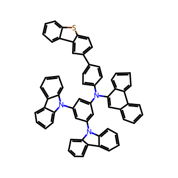 c1ccc2c(c1)cc(N(c1ccc(-c3ccc4sc5ccccc5c4c3)cc1)c1cc(-n3c4ccccc4c4ccccc43)cc(-n3c4ccccc4c4ccccc43)c1)c1ccccc12